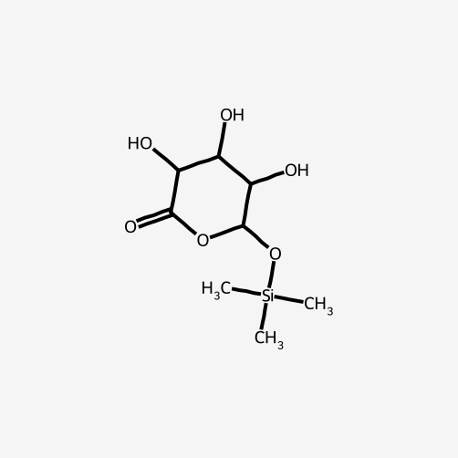 C[Si](C)(C)OC1OC(=O)C(O)C(O)C1O